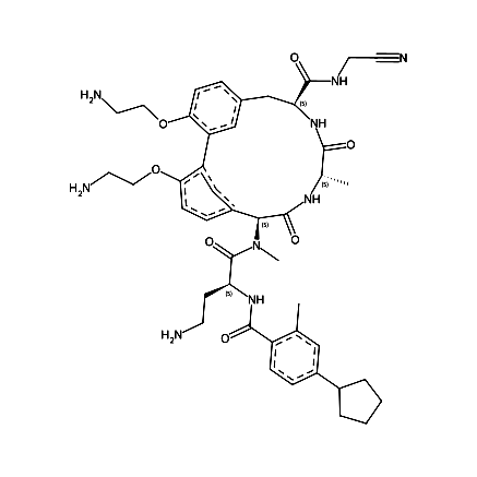 Cc1cc(C2CCCC2)ccc1C(=O)N[C@@H](CCN)C(=O)N(C)[C@@H]1C(=O)N[C@@H](C)C(=O)N[C@H](C(=O)NCC#N)Cc2ccc(OCCN)c(c2)-c2cc1ccc2OCCN